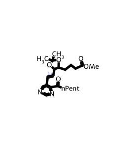 CCCCCC(=O)c1ncncc1/C=C/C1OC(C)(C)OC1CCCC(=O)OC